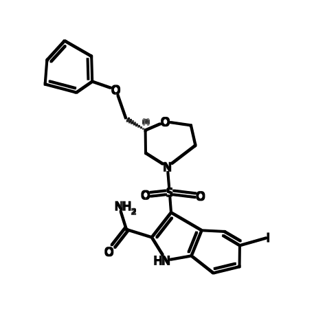 NC(=O)c1[nH]c2ccc(I)cc2c1S(=O)(=O)N1CCO[C@@H](COc2ccccc2)C1